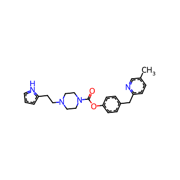 Cc1ccc(Cc2ccc(OC(=O)N3CCN(CCc4ccc[nH]4)CC3)cc2)nc1